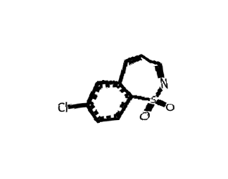 O=S1(=O)N=CC=Cc2cc(Cl)ccc21